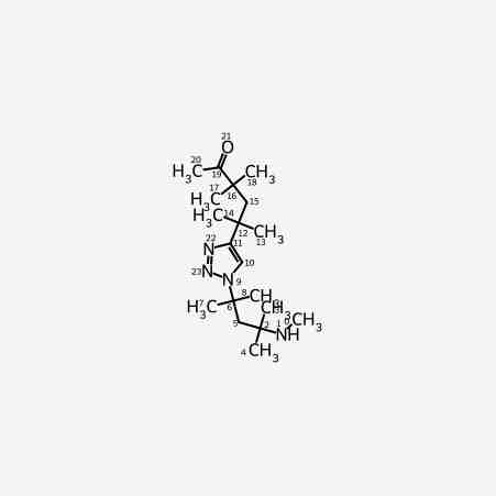 CNC(C)(C)CC(C)(C)n1cc(C(C)(C)CC(C)(C)C(C)=O)nn1